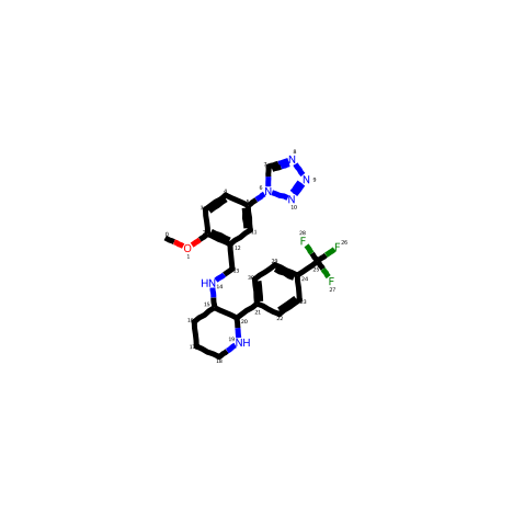 COc1ccc(-n2cnnn2)cc1CNC1CCCNC1c1ccc(C(F)(F)F)cc1